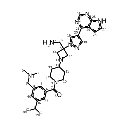 CN(C)Cc1cc(C(=O)N2CCC(N3CC(CN)(n4cc(-c5ncnc6[nH]ccc56)cn4)C3)CC2)cc(C(F)F)c1